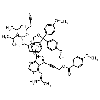 COc1ccc(C(=O)OCC#Cc2nn([C@H]3CC(OP(OCCC#N)N(C(C)C)C(C)C)[C@@H](COC(c4ccccc4)(c4ccc(OC)cc4)c4ccc(OC)cc4)O3)c3ncnc(C=C(C)N)c23)cc1